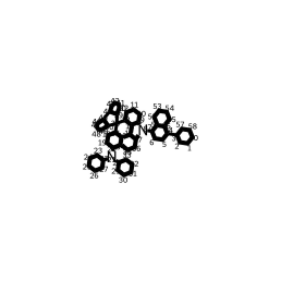 c1ccc(-c2ccc(-n3c4cccc5c4c4c6c(ccc(N(c7ccccc7)c7ccccc7)c6ccc43)C53c4ccccc4-c4ccccc43)c3ccccc23)cc1